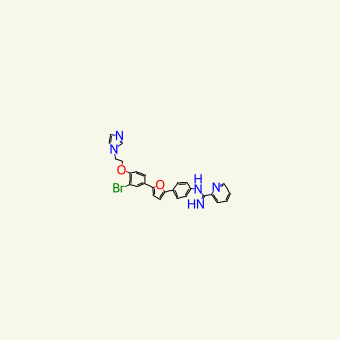 N=C(Nc1ccc(-c2ccc(-c3ccc(OCCn4ccnc4)c(Br)c3)o2)cc1)c1ccccn1